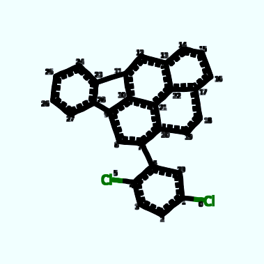 Clc1ccc(Cl)c(-c2cc3c4c(cc5cccc6ccc2c4c65)-c2ccccc2-3)c1